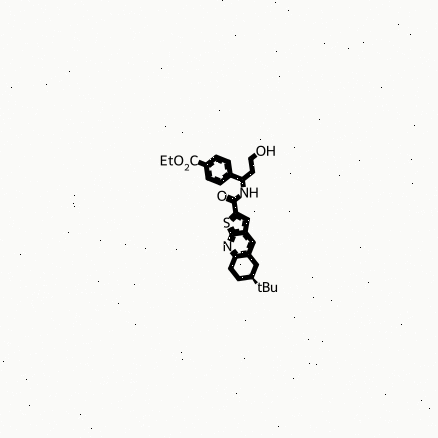 CCOC(=O)c1ccc(C(CCO)NC(=O)c2cc3cc4c(nc3s2)CC[C@H](C(C)(C)C)C4)cc1